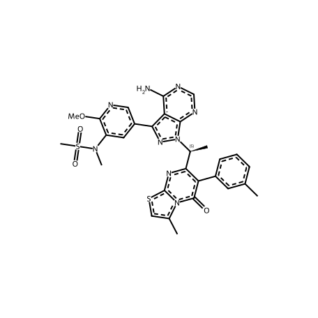 COc1ncc(-c2nn([C@@H](C)c3nc4scc(C)n4c(=O)c3-c3cccc(C)c3)c3ncnc(N)c23)cc1N(C)S(C)(=O)=O